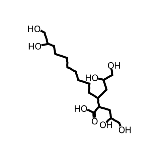 O=C(O)C(CC(O)CO)C(CCCCCCCCC(O)CO)CC(O)CO